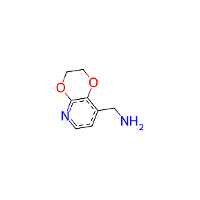 NCc1ccnc2c1OCCO2